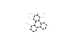 COc1ccc2c3ccccc3c3c(OC)c(OC)c(OC)c(OC)c3c2c1OC